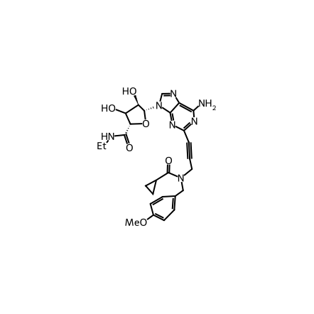 CCNC(=O)[C@H]1O[C@@H](n2cnc3c(N)nc(C#CCN(Cc4ccc(OC)cc4)C(=O)C4CC4)nc32)[C@H](O)C1O